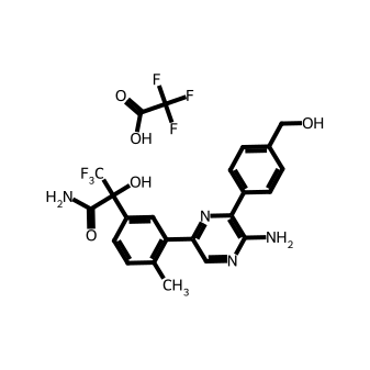 Cc1ccc(C(O)(C(N)=O)C(F)(F)F)cc1-c1cnc(N)c(-c2ccc(CO)cc2)n1.O=C(O)C(F)(F)F